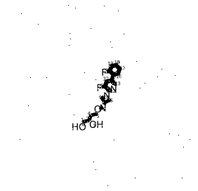 OCC(O)CCON=C1CN(c2ncc(-c3ccccc3F)cc2F)C1